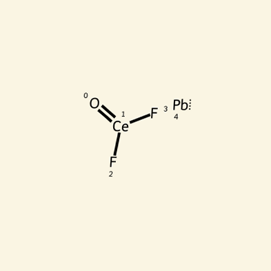 [O]=[Ce]([F])[F].[Pb]